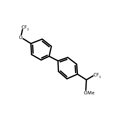 COC(c1ccc(-c2ccc(OC(F)(F)F)cc2)cc1)C(F)(F)F